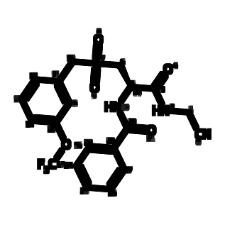 N#CCNC(=O)[C@H](CS(=O)(=O)Cc1cccc(OC(F)(F)F)c1)NC(=O)c1ccccc1